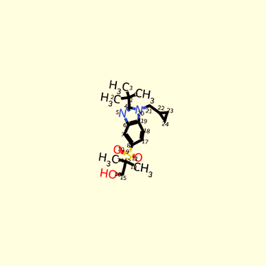 CC(C)(C)c1nc2cc(S(=O)(=O)C(C)(C)CO)ccc2n1CC1CC1